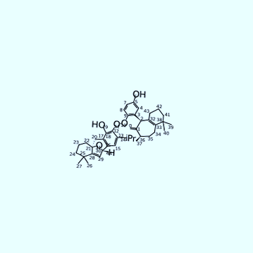 C=C1[C@@H](c2cc(O)ccc2OOc2c(C(C)C)cc3c(c2O)C[C@@]24CCCC(C)(C)C2=C[C@@H]3O4)C2=C(CC[C@H]1C)C(C)(C)CCC2